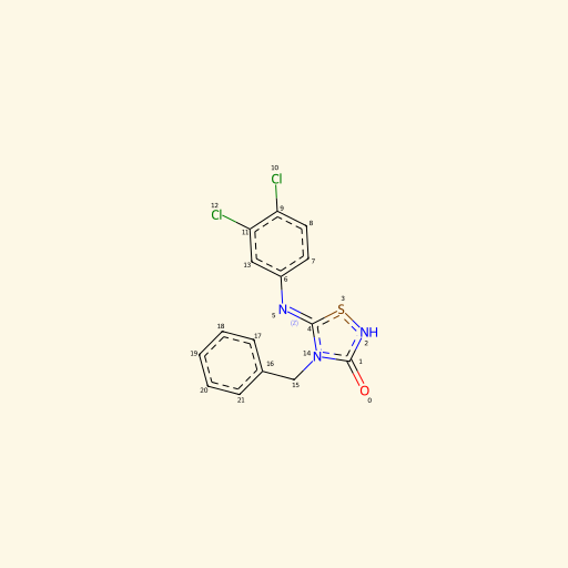 O=c1[nH]s/c(=N\c2ccc(Cl)c(Cl)c2)n1Cc1ccccc1